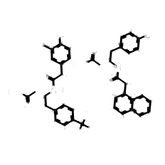 O=C(O)C[C@@H](Cc1ccc(C(F)(F)F)cc1)NC(=O)Cc1ccc(Cl)c(Cl)c1.O=C(O)C[C@H](Cc1ccc(Cl)cc1)NC(=O)Cc1cccc2ccccc12